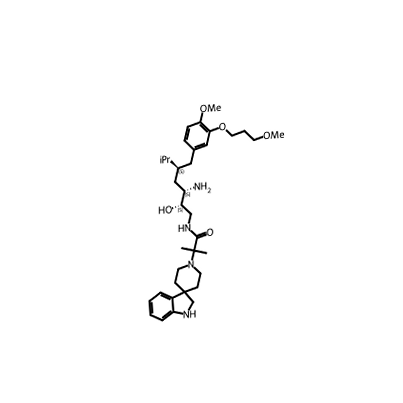 COCCCOc1cc(C[C@@H](C[C@H](N)[C@@H](O)CNC(=O)C(C)(C)N2CCC3(CC2)CNc2ccccc23)C(C)C)ccc1OC